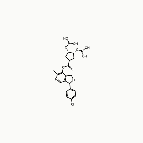 Cc1ncc2c(c1OC(=O)C1C[C@H](ON(O)O)[C@H](ON(O)O)C1)COC2c1ccc(Cl)cc1